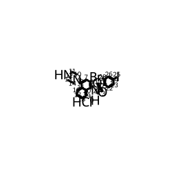 Cl.O=S(=O)(Nc1ccc(N2CCNCC2)c2ccccc12)c1ccc(I)cc1Br